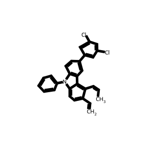 C=Cc1ccc2c(c1/C=C\C)c1cc(-c3cc(Cl)cc(Cl)c3)ccc1n2-c1ccccc1